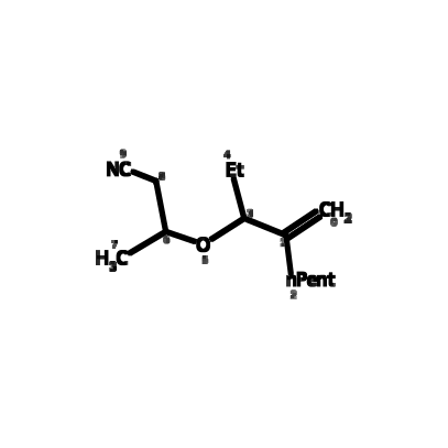 C=C(CCCCC)C(CC)OC(C)CC#N